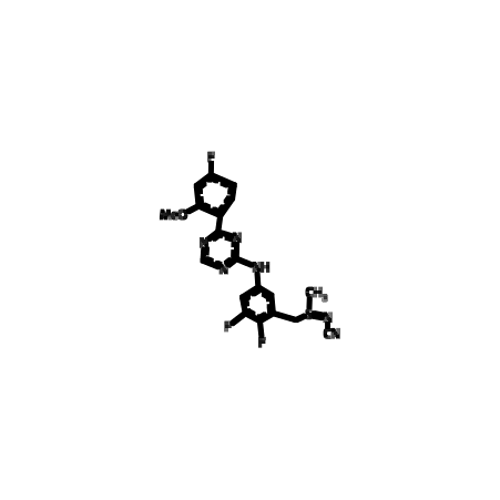 COc1cc(F)ccc1-c1ncnc(Nc2cc(F)c(F)c(C/S(C)=N\C#N)c2)n1